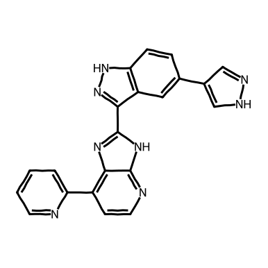 c1ccc(-c2ccnc3[nH]c(-c4n[nH]c5ccc(-c6cn[nH]c6)cc45)nc23)nc1